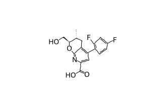 C[C@@H]1Cc2c(-c3ccc(F)cc3F)cc(C(=O)O)nc2O[C@H]1CO